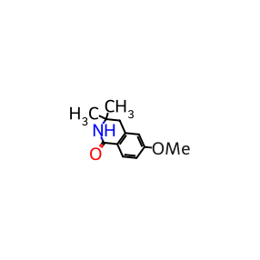 COc1ccc2c(c1)CC(C)(C)NC2=O